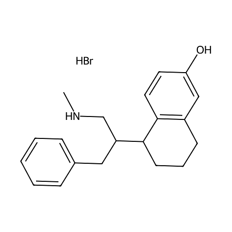 Br.CNCC(Cc1ccccc1)C1CCCc2cc(O)ccc21